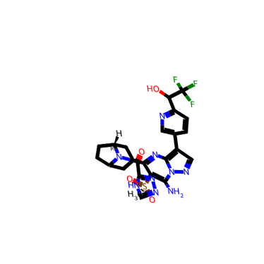 CS(=O)(=O)c1c(C2CC3CC[C@H](C2)N3C(=O)c2nnc[nH]2)nc2c(-c3ccc(C(O)C(F)(F)F)nc3)cnn2c1N